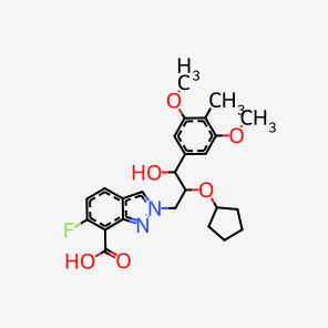 COc1cc(C(O)C(Cn2cc3ccc(F)c(C(=O)O)c3n2)OC2CCCC2)cc(OC)c1C